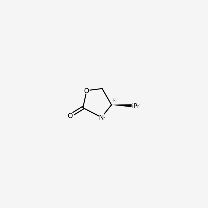 CC(C)[C@@H]1COC(=O)[N]1